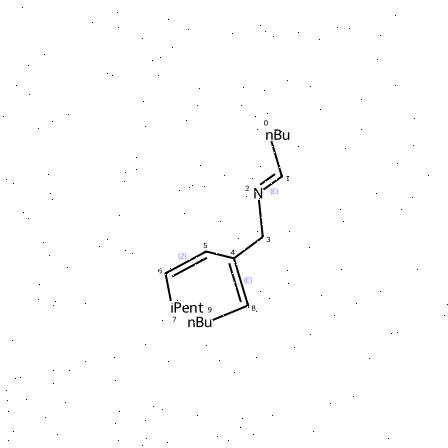 CCCC/C=N/CC(/C=C\C(C)CCC)=C/CCCC